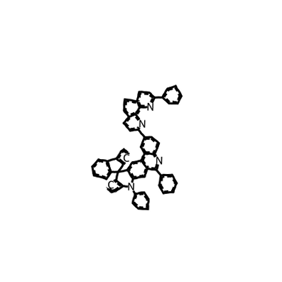 c1ccc(-c2ccc3ccc4ccc(-c5ccc6nc(-c7ccccc7)c7cc8c(cc7c6c5)C5(c6ccccc6-c6ccccc65)c5ccccc5N8c5ccccc5)nc4c3n2)cc1